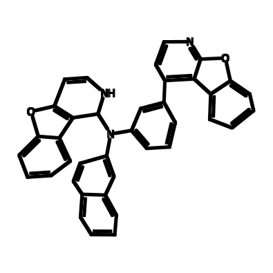 C1=Cc2oc3ccccc3c2C(N(c2cccc(-c3ccnc4oc5ccccc5c34)c2)c2ccc3ccccc3c2)N1